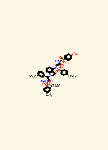 COc1ccc(S(=O)(=O)N(CC(=O)NS(=O)(=O)c2ccc(O)cc2)c2cccc3c2CCN3C(C(=O)NS(=O)(=O)c2ccc(C)cc2OC)c2cccc(OC)c2)cc1